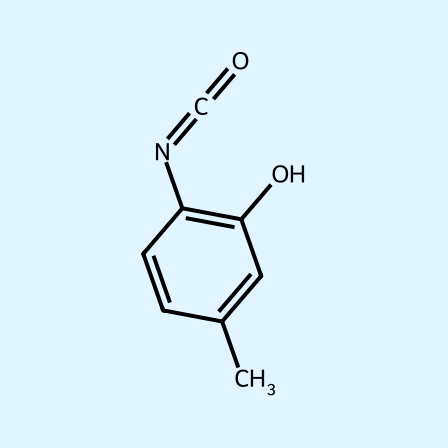 Cc1ccc(N=C=O)c(O)c1